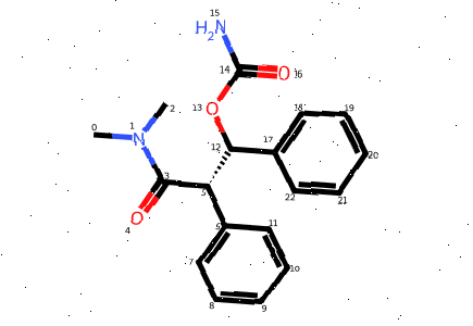 CN(C)C(=O)[C@@H](c1ccccc1)C(OC(N)=O)c1ccccc1